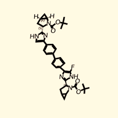 CC(C)(C)OC(=O)N1C2CC2C[C@H]1c1nc(-c2ccc(-c3ccc(-c4c[nH]c([C@@H]5C[C@H]6C[C@H]6N5C(=O)OC(C)(C)C)n4)cc3)cc2)c(F)[nH]1